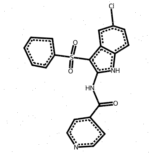 O=C(Nc1[nH]c2ccc(Cl)cc2c1S(=O)(=O)c1ccccc1)c1ccncc1